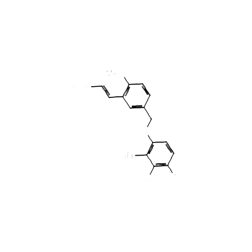 CCCc1c(OCc2ccc(OC)c(/C=C/C(=O)O)c2)ccc(C(C)=O)c1O